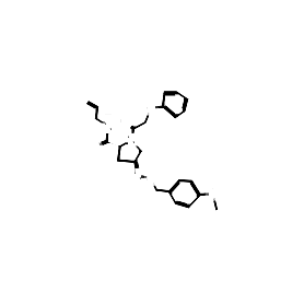 C=CCNC(=O)[C@@H]1CC(=NOCc2ccc(OC)cc2)CN1C(=O)COc1ccccc1